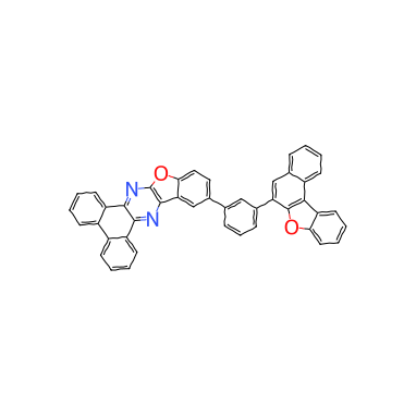 c1cc(-c2ccc3oc4nc5c6ccccc6c6ccccc6c5nc4c3c2)cc(-c2cc3ccccc3c3c2oc2ccccc23)c1